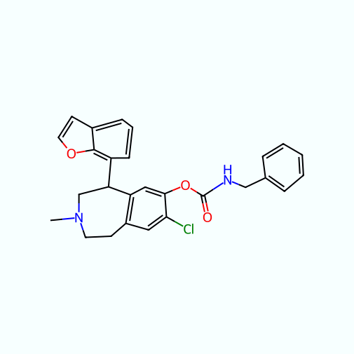 CN1CCc2cc(Cl)c(OC(=O)NCc3ccccc3)cc2C(c2cccc3ccoc23)C1